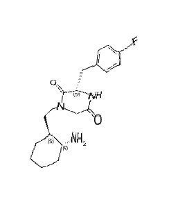 N[C@@H]1CCCC[C@H]1CN1CC(=O)N[C@@H](Cc2ccc(F)cc2)C1=O